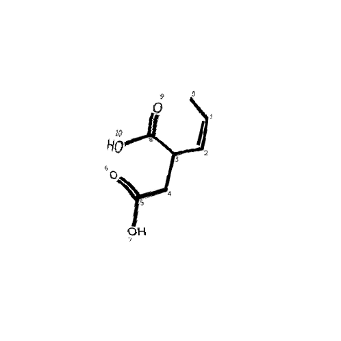 C/C=C\C(CC(=O)O)C(=O)O